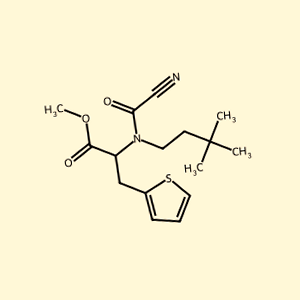 COC(=O)C(Cc1cccs1)N(CCC(C)(C)C)C(=O)C#N